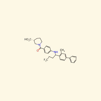 Cc1cc(-c2ccccc2)ccc1C(CCC(F)(F)F)Nc1ccc(C(=O)N2CCC[C@@H](C(=O)O)C2)cc1